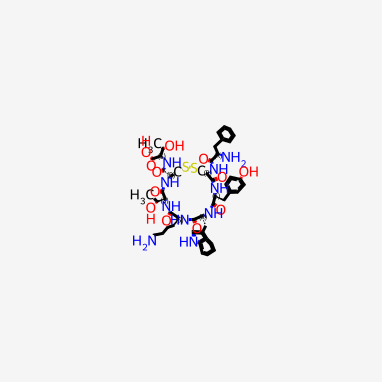 CC(O)[C@H](NC(=O)[C@@H]1CSSC[C@H](NC(=O)[C@H](N)Cc2ccccc2)C(=O)N[C@@H](Cc2ccc(O)cc2)C(=O)N[C@H](Cc2c[nH]c3ccccc23)C(=O)N[C@@H](CCCCN)C(=O)N[C@@H](C(C)O)C(=O)N1)C(=O)O